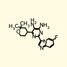 CC1(C)CC(c2nc(-c3cnc4ccc(F)cn34)nc(N)c2N)CCO1